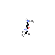 CCCCC(C)(CC)CNC(=O)/C=C/CN(C)C